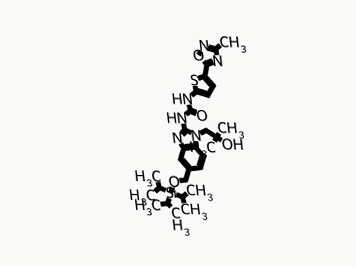 Cc1noc(-c2ccc(NC(=O)Nc3nc4cc(CO[Si](C(C)C)(C(C)C)C(C)C)ccc4n3CC(C)(C)O)s2)n1